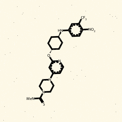 CNC(=S)N1CCN(c2ccnc(O[C@H]3CC[C@H](Nc4ccc([N+](=O)[O-])c(C(F)(F)F)c4)CC3)c2)CC1